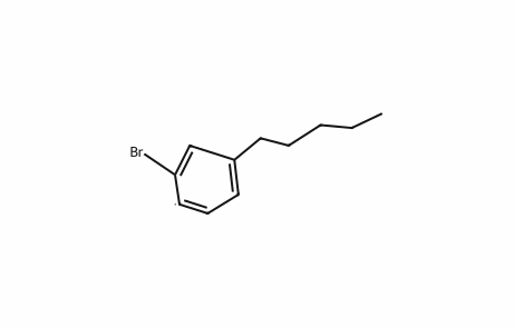 CCCCCc1cc[c]c(Br)c1